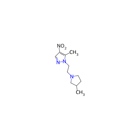 Cc1c([N+](=O)[O-])cnn1CCN1CCC(C)C1